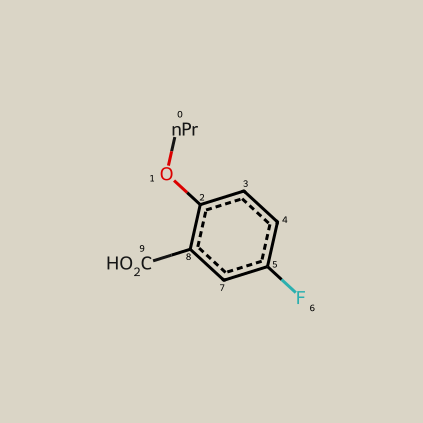 CCCOc1ccc(F)cc1C(=O)O